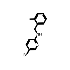 Fc1ccccc1CNc1ccc(Br)cn1